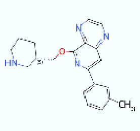 Cc1cccc(-c2cc3nccnc3c(OC[C@H]3CCCNC3)n2)c1